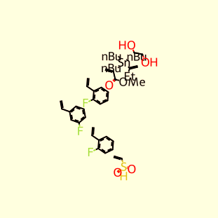 C=CC(=O)OC.C=C[SH](=O)=O.C=Cc1cccc(F)c1.C=Cc1ccccc1F.C=Cc1ccccc1F.C=[C](CC)[Sn]([CH2]CCC)([CH2]CCC)[CH2]CCC.OCCO